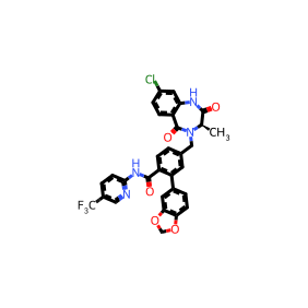 C[C@@H]1C(=O)Nc2cc(Cl)ccc2C(=O)N1Cc1ccc(C(=O)Nc2ccc(C(F)(F)F)cn2)c(-c2ccc3c(c2)OCO3)c1